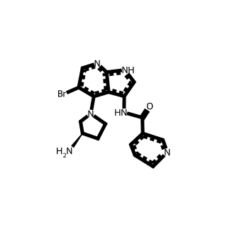 N[C@@H]1CCN(c2c(Br)cnc3[nH]cc(NC(=O)c4cccnc4)c23)C1